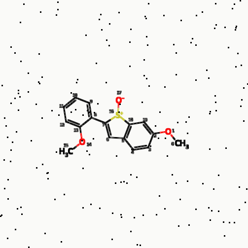 COc1ccc2cc(-c3ccccc3OC)[s+]([O-])c2c1